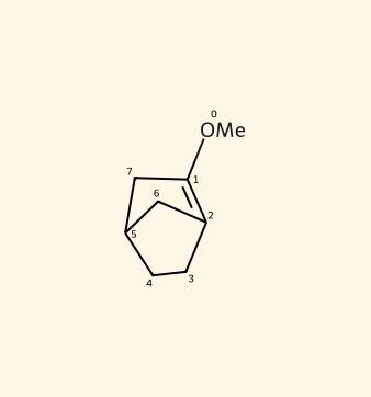 COC1=C2CCC(C2)C1